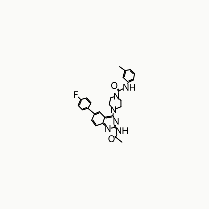 CC(=O)Nc1nc(N2CCN(C(=O)Nc3cccc(C)c3)CC2)c2cc(-c3ccc(F)cc3)ccc2n1